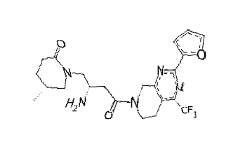 C[C@@H]1CCC(=O)N(C[C@@H](N)CC(=O)N2CCc3c(nc(-c4ccco4)nc3C(F)(F)F)C2)C1